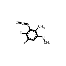 COc1cc(F)c(F)c(N=C=O)c1C